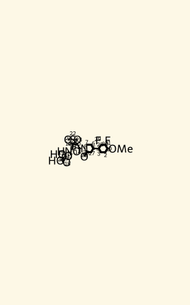 COc1ccc(-c2ccn(CC[C@](C)(C(=O)NOP(=O)(O)O)S(C)(=O)=O)c(=O)c2)c(F)c1F